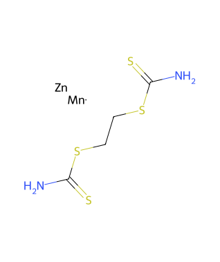 NC(=S)SCCSC(N)=S.[Mn].[Zn]